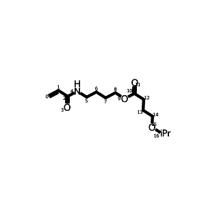 C=CC(=O)NCCCCOC(=O)CCCOC(C)C